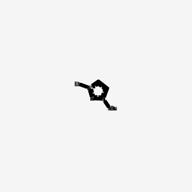 CCCCn1cc[n+](CC)n1